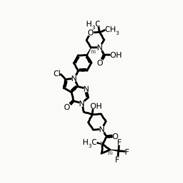 CC1(C)CN(C(=O)O)[C@@H](c2ccc(-n3c(Cl)cc4c(=O)n(CC5(O)CCN(C(=O)[C@@]6(C)C[C@@H]6C(F)(F)F)CC5)cnc43)cc2)CO1